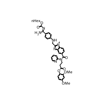 CCCCCCOC(=O)/N=C(\N)c1ccc(NCc2nc3cc(C(=O)N(CCC(=O)Oc4ccc(OC)cc4OC)c4ccccn4)ccc3n2C)cc1